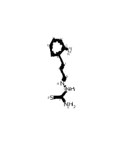 NC(=S)NN=CC=Cc1ccccc1Cl